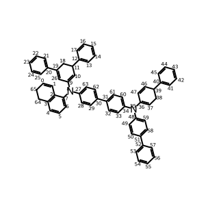 C1=Cc2c(cccc2N(C2=CC(c3ccccc3)CC(c3ccccc3)=C2)c2ccc(-c3ccc(N(C4=CCC(c5ccccc5)C=C4)c4ccc(-c5ccccc5)cc4)cc3)cc2)CC1